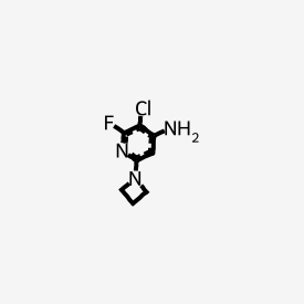 Nc1cc(N2CCC2)nc(F)c1Cl